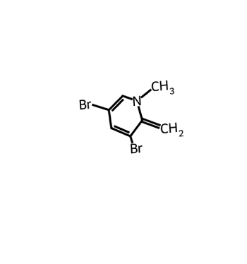 C=C1C(Br)=CC(Br)=CN1C